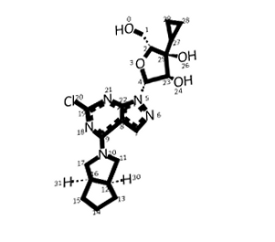 OC[C@H]1O[C@@H](n2ncc3c(N4C[C@H]5CCC[C@H]5C4)nc(Cl)nc32)[C@H](O)[C@@]1(O)C1CC1